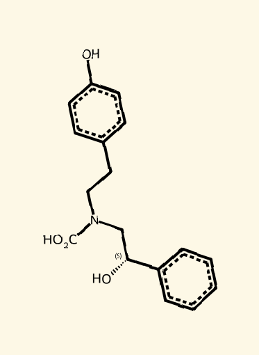 O=C(O)N(CCc1ccc(O)cc1)C[C@@H](O)c1ccccc1